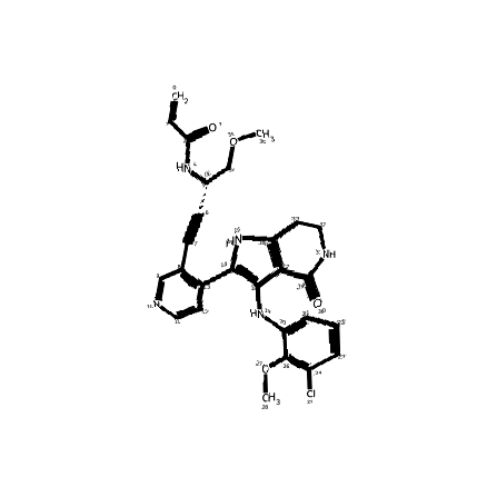 C=CC(=O)N[C@@H](C#Cc1cnccc1-c1[nH]c2c(c1Nc1cccc(Cl)c1OC)C(=O)NCC2)COC